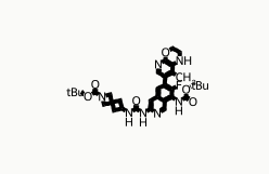 Cc1c(-c2cc3cc(NC(=O)NC4CC5(C4)CN(C(=O)OC(C)(C)C)C5)ncc3c(NC(=O)OC(C)(C)C)c2F)cnc2c1NCCO2